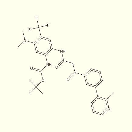 Cc1ncccc1-c1cccc(C(=O)CC(=O)Nc2cc(C(F)(F)F)c(N(C)C)cc2NC(=O)OC(C)(C)C)c1